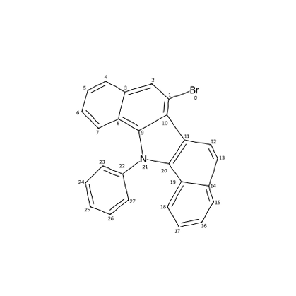 Brc1cc2ccccc2c2c1c1ccc3ccccc3c1n2-c1ccccc1